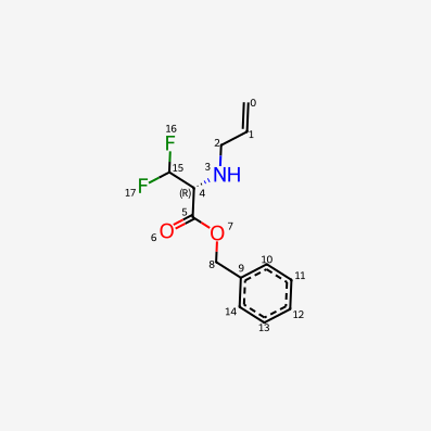 C=CCN[C@H](C(=O)OCc1ccccc1)C(F)F